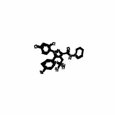 [2H]C([2H])([2H])Cc1c(C(=O)NN2CCCCC2)nn(-c2ccc(Cl)cc2Cl)c1-c1ccc(Br)cc1